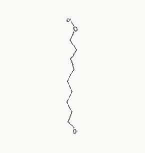 CCOCCCCCCCCC[O]